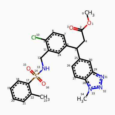 COC(=O)CC(c1ccc(Cl)c(CNS(=O)(=O)c2ccccc2C)c1)c1ccc2c(c1)nnn2C